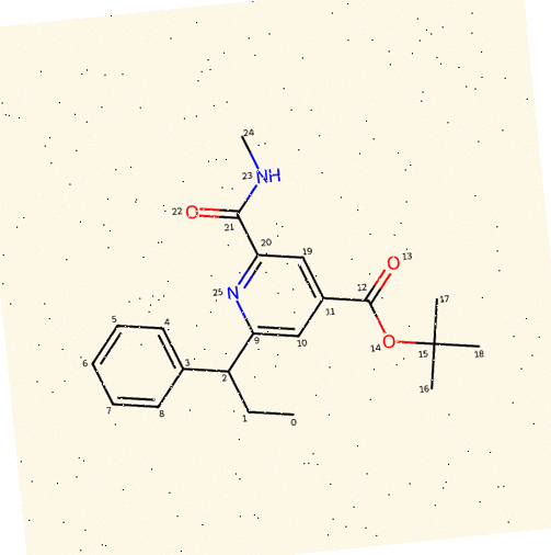 CCC(c1ccccc1)c1cc(C(=O)OC(C)(C)C)cc(C(=O)NC)n1